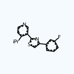 CC(C)c1ccncc1-c1nc(-c2cccc(F)c2)cs1